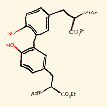 CCOC(=O)C(Cc1ccc(O)c(-c2cc(CC(NC(C)=O)C(=O)OCC)ccc2O)c1)NC(C)=O